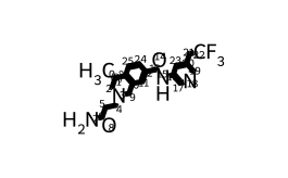 C[C@H]1CN(CCC(N)=O)Cc2cc(C(=O)Nc3cncc(CC(F)(F)F)c3)ccc21